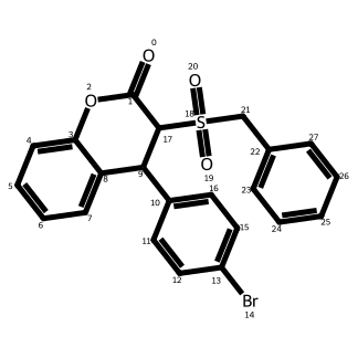 O=C1Oc2ccccc2C(c2ccc(Br)cc2)C1S(=O)(=O)Cc1ccccc1